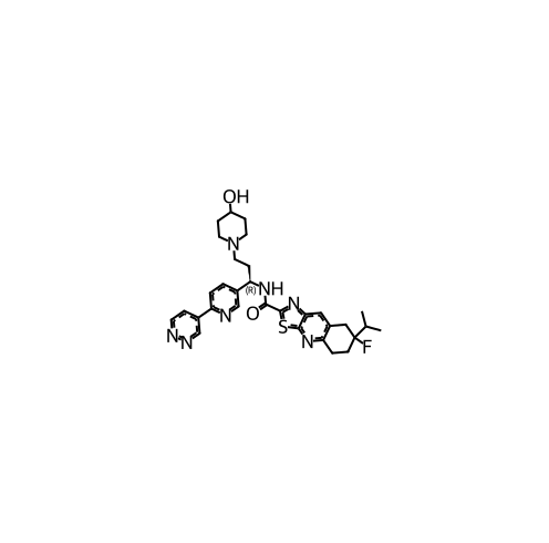 CC(C)C1(F)CCc2nc3sc(C(=O)N[C@H](CCN4CCC(O)CC4)c4ccc(-c5ccnnc5)nc4)nc3cc2C1